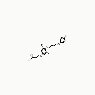 ClC(Cl)=CCOc1cc(Cl)c(OCCCCOc2ccc(Cl)cc2)c(Cl)c1